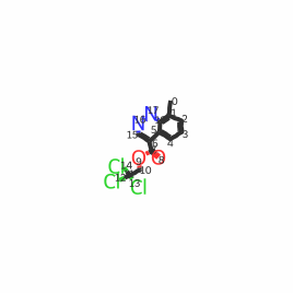 Cc1cccc2c(C(=O)OCC(Cl)(Cl)Cl)cnnc12